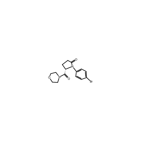 O=C([C@@H]1CCC(=O)N1c1ccc(Br)cc1)N1CCOCC1